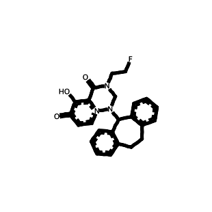 O=C1c2c(O)c(=O)ccn2N(C2c3ccccc3CCc3ccccc32)CN1CCF